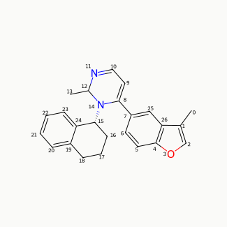 Cc1coc2ccc(C3=CC=NC(C)N3[C@@H]3CCCc4ccccc43)cc12